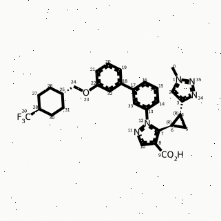 Cn1cc([C@@H]2C[C@H]2c2c(C(=O)O)cnn2-c2cccc(-c3cccc(OC[C@H]4CC[C@H](C(F)(F)F)CC4)c3)c2)nn1